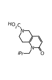 CC(C)Cn1c2c(ccc1=O)CN(C(=O)O)CC2